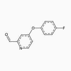 O=Cc1cc(Oc2ccc(F)cc2)ccn1